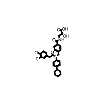 O=C(NCC(O)C(=O)O)c1ccc(CN(C(=O)Cc2ccc(Cl)c(Cl)c2)c2ccc(C3CCCCC3)cc2)cc1